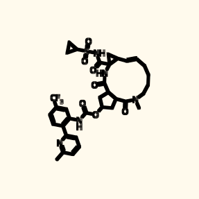 Cc1cccc(-c2ccc(C(F)(F)F)cc2NC(=O)OC2CC3C(=O)NC4(C(=O)NS(=O)(=O)C5CC5)CC4/C=C/CCCCN(C)C(=O)C3C2)n1